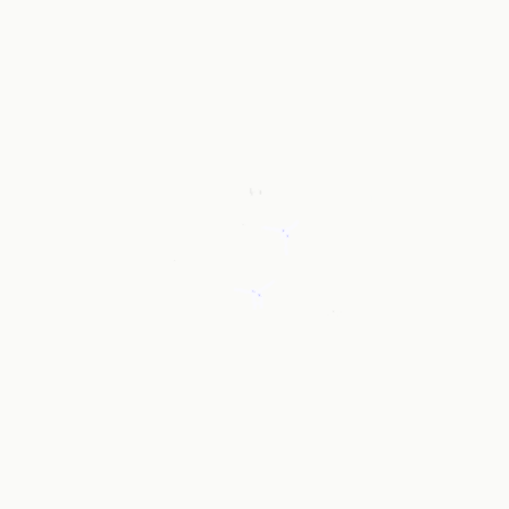 C#CC(C)(CC)N1C=C(F)C=C(C(=O)O)C1NC1CC(F)C1